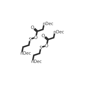 CCCCCCCCCCCCSOC(=O)CCCCCCCCCCC.CCCCCCCCCCCCSOC(=O)CCCCCCCCCCC